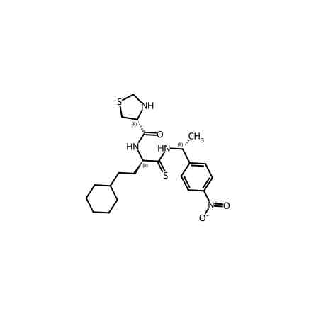 C[C@@H](NC(=S)[C@@H](CCC1CCCCC1)NC(=O)[C@@H]1CSCN1)c1ccc([N+](=O)[O-])cc1